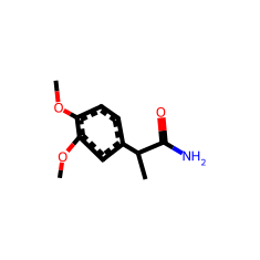 COc1ccc(C(C)C(N)=O)cc1OC